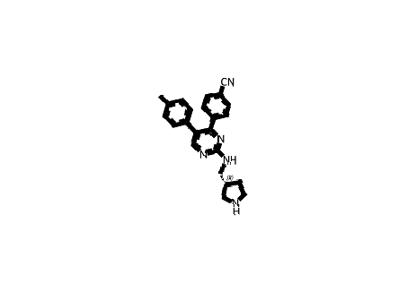 Cc1ccc(-c2cnc(NC[C@@H]3CCNC3)nc2-c2ccc(C#N)cc2)cc1